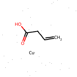 C=CCC(=O)O.[Cu]